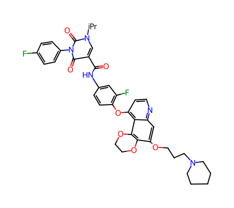 CC(C)n1cc(C(=O)Nc2ccc(Oc3ccnc4cc(OCCCN5CCCCC5)c5c(c34)OCCO5)c(F)c2)c(=O)n(-c2ccc(F)cc2)c1=O